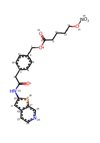 O=C(Cc1ccc(COC(=O)CCCCO[N+](=O)[O-])cc1)Nc1cc2ccncc2s1